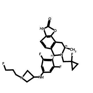 C[C@@H]1Cc2c(ccc3[nH]c(=O)oc23)[C@@H](c2c(F)cc(NC3CN(CCCF)C3)cc2F)N1CC1(F)CC1